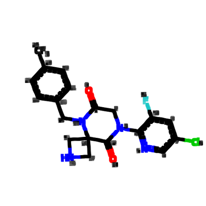 O=C1CN(c2ncc(Cl)cc2F)C(=O)C2(CNC2)N1Cc1ccc(C(F)(F)F)cc1